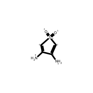 NC1=CS(=O)(=O)C=C1N